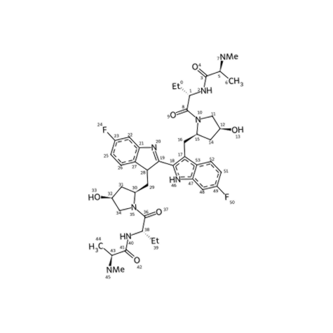 CC[C@H](NC(=O)[C@H](C)NC)C(=O)N1C[C@@H](O)C[C@H]1Cc1c(C2=Nc3cc(F)ccc3C2C[C@@H]2C[C@H](O)CN2C(=O)[C@H](CC)NC(=O)[C@H](C)NC)[nH]c2cc(F)ccc12